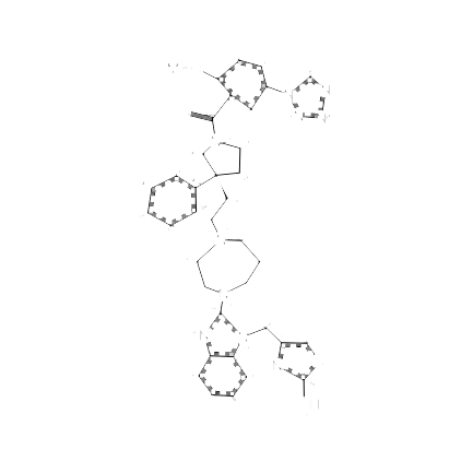 COc1ccc(-n2cnnn2)cc1C(=O)N1CC[C@](CCN2CCCN(c3nc4ccccc4n3Cc3csc(C)n3)CC2)(c2ccccc2)C1